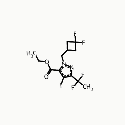 CCOC(=O)c1c(I)c(C(C)(F)F)nn1CC1CC(F)(F)C1